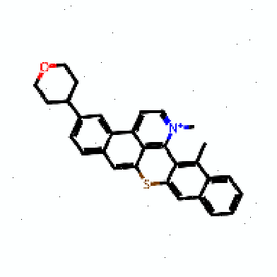 Cc1c2c(cc3ccccc13)Sc1cc3ccc(C4CCOCC4)cc3c3cc[n+](C)c-2c13